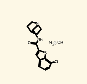 Cl.O.O=C(NC1CN2CCC1CC2)c1cc2cccc(Cl)c2s1